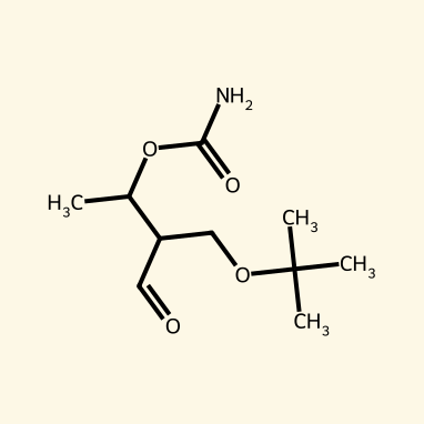 CC(OC(N)=O)C(C=O)COC(C)(C)C